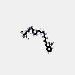 CN(C)c1ccccc1CCCCC/C=C\C/C=C\C/C=C\C/C=C\CCCC(N)=O